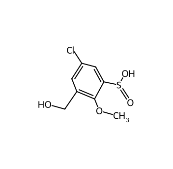 COc1c(CO)cc(Cl)cc1S(=O)O